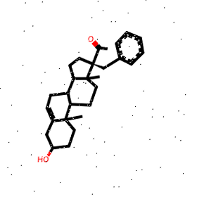 CC(=O)[C@@]1(Cc2ccccc2)CCC2C3CC=C4CC(O)CCC4(C)C3CCC21C